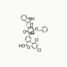 O=C(N[C@@H](Cc1c[nH]c2ccccc12)C(=O)Nc1ccc(C(=O)O)c(-c2ccc(Cl)cc2Cl)c1)OCc1ccccc1